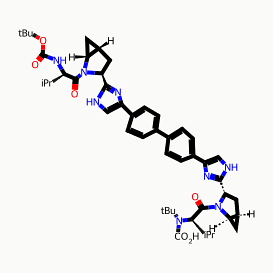 CC(C)[C@@H](NC(=O)OC(C)(C)C)C(=O)N1[C@@H]2C[C@@H]2C[C@H]1c1nc(-c2ccc(-c3ccc(-c4c[nH]c([C@@H]5C[C@H]6C[C@H]6N5C(=O)[C@@H](C(C)C)N(C(=O)O)C(C)(C)C)n4)cc3)cc2)c[nH]1